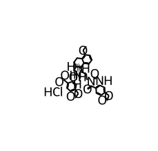 COc1cccc2c1CC[C@H]1CNC(CCn3c(=O)[nH]c4cc5c(cc4c3=O)OCO5)[C@@H]21.Cl.O=C(O)c1cc2c(cc1O)OCO2